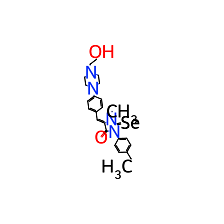 CCc1ccc(N2C(=O)C(=Cc3ccc(N4CCN(CCO)CC4)cc3)N(C)C2=[Se])cc1